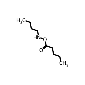 CCCCNOC(=O)CCCC